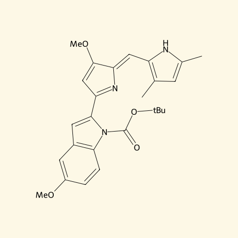 COC1=CC(c2cc3cc(OC)ccc3n2C(=O)OC(C)(C)C)=NC1=Cc1[nH]c(C)cc1C